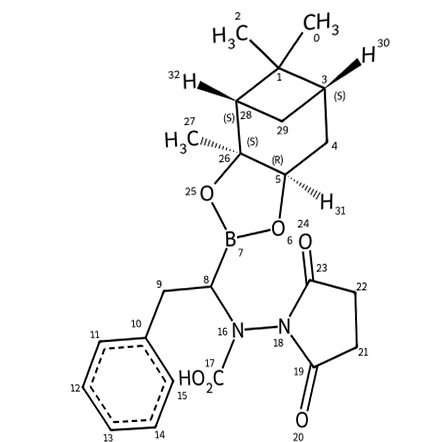 CC1(C)[C@@H]2C[C@H]3OB(C(Cc4ccccc4)N(C(=O)O)N4C(=O)CCC4=O)O[C@@]3(C)[C@H]1C2